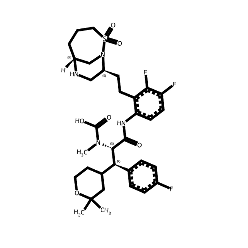 CN(C(=O)O)[C@H](C(=O)Nc1ccc(F)c(F)c1CC[C@H]1CN[C@@H]2CCCS(=O)(=O)N1C2)[C@@H](c1ccc(F)cc1)C1CCOC(C)(C)C1